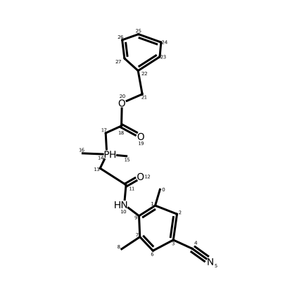 Cc1cc(C#N)cc(C)c1NC(=O)C[PH](C)(C)CC(=O)OCc1ccccc1